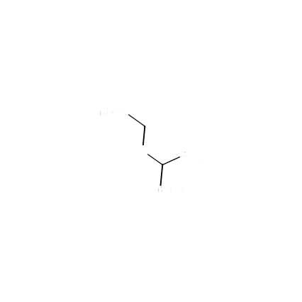 CCCCCCO[CH]([AlH2])CCCCC